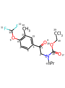 CCCN(CC(=O)c1ccc(OC(F)F)c(C)c1)C(=O)OCC(Cl)(Cl)Cl